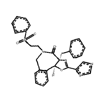 O=C1N(CCS(=O)(=O)c2ccccc2)Cc2ccccc2[C@@H]2OC(c3cncs3)=N[C@]12Cc1ccccc1